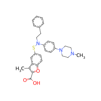 Cc1c(C(=O)O)oc2ccc(SN(CCc3ccccc3)c3ccc(N4CCN(C)CC4)cc3)cc12